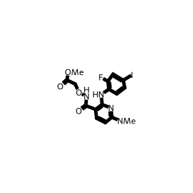 CNc1ccc(C(=O)NOCC(=O)OC)c(Nc2ccc(I)cc2F)n1